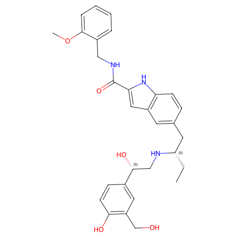 CC[C@@H](Cc1ccc2[nH]c(C(=O)NCc3ccccc3OC)cc2c1)NC[C@@H](O)c1ccc(O)c(CO)c1